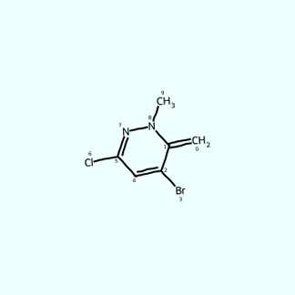 C=C1C(Br)=CC(Cl)=NN1C